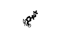 COc1ncnc2ccc(C3(C)CN(C(C)(C)C)C3)cc12